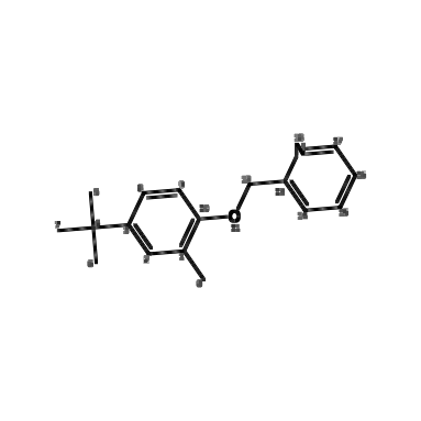 Cc1cc(C(C)(C)C)ccc1OCc1ccccn1